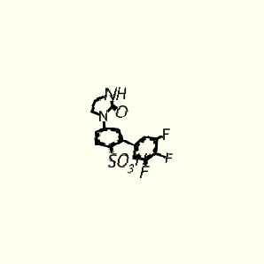 O=C1NCCN1c1ccc(S(=O)(=O)O)c(-c2cc(F)c(F)c(F)c2)c1